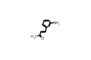 CC(=O)C=Cc1cccc(N)c1